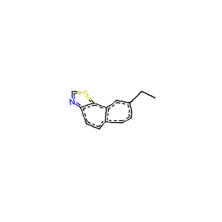 CCc1ccc2ccc3ncsc3c2c1